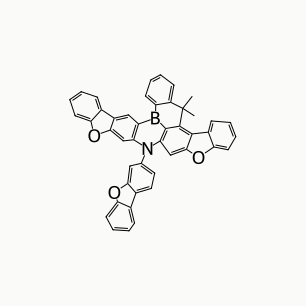 CC1(C)c2ccccc2B2c3cc4c(cc3N(c3ccc5c(c3)oc3ccccc35)c3cc5oc6ccccc6c5c1c32)oc1ccccc14